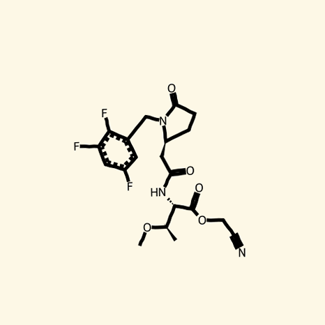 CO[C@H](C)[C@H](NC(=O)C[C@@H]1CCC(=O)N1Cc1cc(F)cc(F)c1F)C(=O)OCC#N